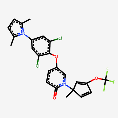 Cc1ccc(C)n1-c1cc(Cl)c(Oc2ccc(=O)n(C3(C)C=CC(OC(F)(F)F)=C3)c2)c(Cl)c1